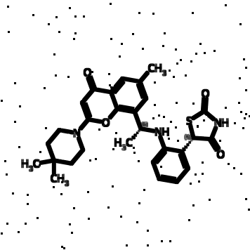 Cc1cc([C@@H](C)Nc2ccccc2[C@@H]2SC(=O)NC2=O)c2oc(N3CCC(C)(C)CC3)cc(=O)c2c1